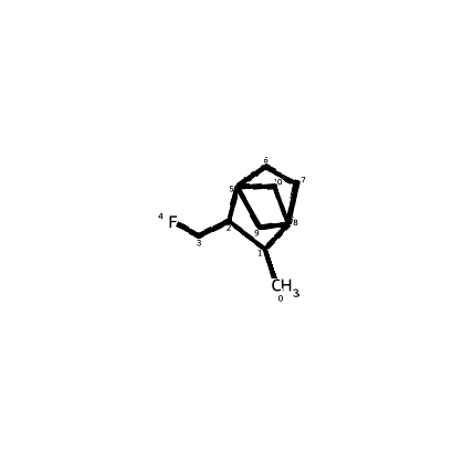 CC1C(CF)C23CCC1(C2)C3